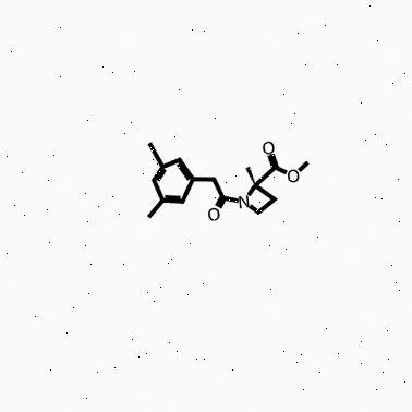 COC(=O)[C@]1(C)CCN1C(=O)Cc1cc(C)cc(C)c1